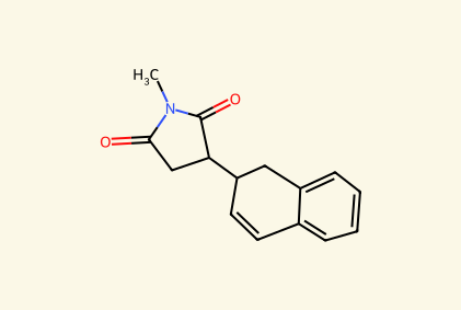 CN1C(=O)CC(C2C=Cc3ccccc3C2)C1=O